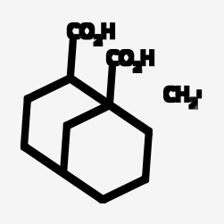 O=C(O)C1CCC2CCCC1(C(=O)O)C2.[CH2]